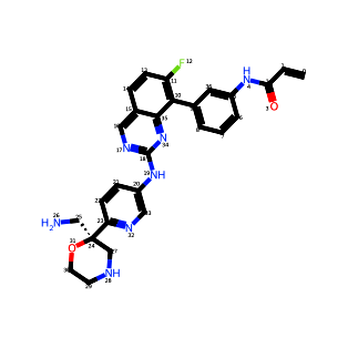 C=CC(=O)Nc1cccc(-c2c(F)ccc3cnc(Nc4ccc([C@@]5(CN)CNCCO5)nc4)nc23)c1